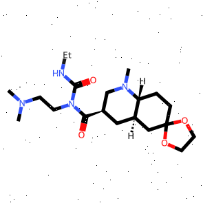 CCNC(=O)N(CCN(C)C)C(=O)[C@@H]1C[C@@H]2CC3(CC[C@H]2N(C)C1)OCCO3